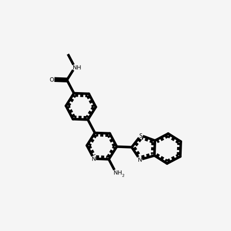 CNC(=O)c1ccc(-c2cnc(N)c(-c3nc4ccccc4s3)c2)cc1